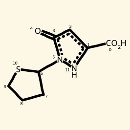 O=C(O)c1cc(=O)n(C2CCCS2)[nH]1